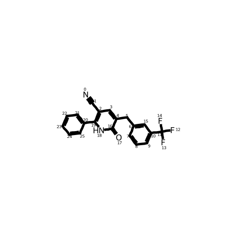 N#Cc1cc(Cc2cccc(C(F)(F)F)c2)c(=O)[nH]c1-c1ccccc1